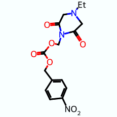 CCN1CC(=O)N(COC(=O)OCc2ccc([N+](=O)[O-])cc2)C(=O)C1